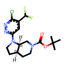 CC(C)(C)OC(=O)N1CC[C@H]2CCN(c3cc(C(F)F)c(Cl)nn3)[C@H]2C1